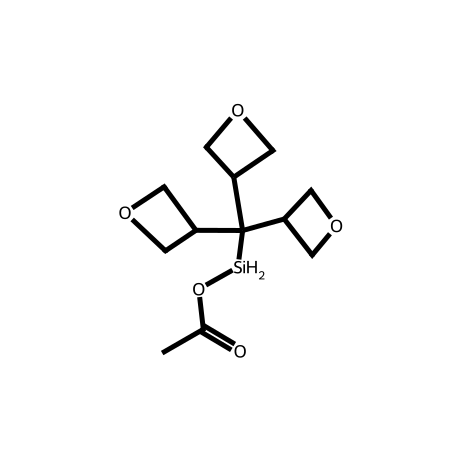 CC(=O)O[SiH2]C(C1COC1)(C1COC1)C1COC1